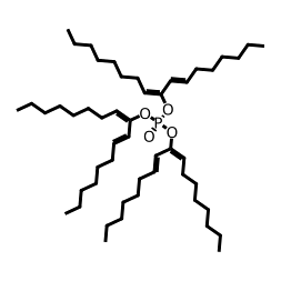 CCCCCC/C=C/C(=C\CCCCCCC)OP(=O)(OC(/C=C/CCCCCC)=C/CCCCCCC)OC(/C=C/CCCCCC)=C/CCCCCCC